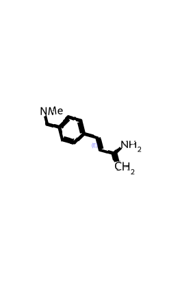 C=C(N)/C=C/c1ccc(CNC)cc1